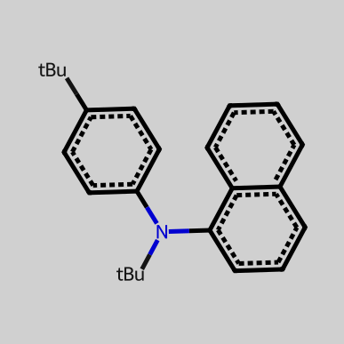 CC(C)(C)c1ccc(N(c2cccc3ccccc23)C(C)(C)C)cc1